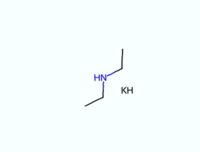 CCNCC.[KH]